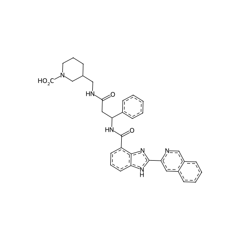 O=C(CC(NC(=O)c1cccc2[nH]c(-c3cc4ccccc4cn3)nc12)c1ccccc1)NCC1CCCN(C(=O)O)C1